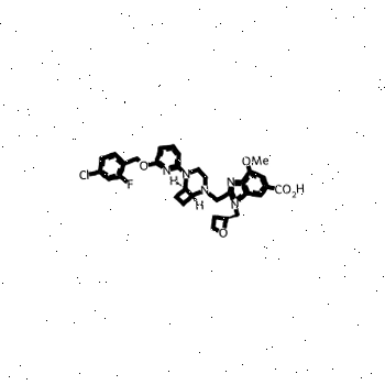 COc1cc(C(=O)O)cc2c1nc(CN1CCN(c3cccc(OCc4ccc(Cl)cc4F)n3)[C@@H]3CC[C@H]31)n2C[C@@H]1CCO1